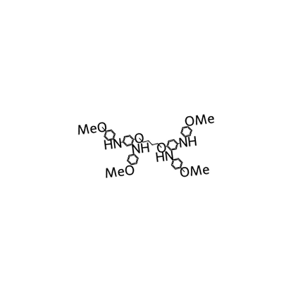 COc1ccc(Nc2ccc(OCCCCOc3ccc(Nc4ccc(OC)cc4)cc3Nc3ccc(OC)cc3)c(Nc3ccc(OC)cc3)c2)cc1